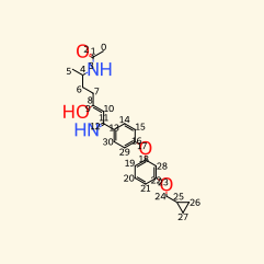 CC(=O)NC(C)CC/C(O)=C/C(=N)c1ccc(Oc2cccc(OCC3CC3)c2)cc1